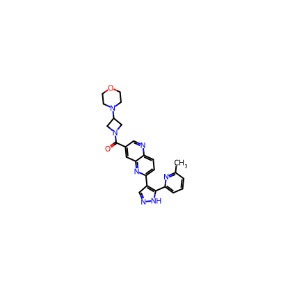 Cc1cccc(-c2[nH]ncc2-c2ccc3ncc(C(=O)N4CC(N5CCOCC5)C4)cc3n2)n1